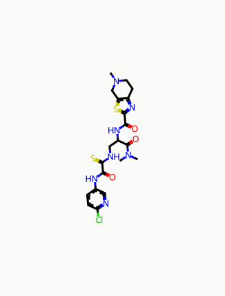 CN1CCc2nc(C(=O)NC(CNC(=S)C(=O)Nc3ccc(Cl)nc3)C(=O)N(C)C)sc2C1